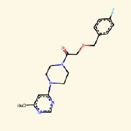 CC(C)COc1cc(N2CCN(C(=O)COCc3ccc(F)cc3)CC2)ncn1